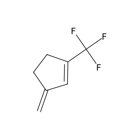 C=C1C=C(C(F)(F)F)CC1